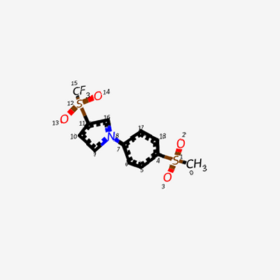 CS(=O)(=O)c1ccc(-n2ccc(S(=O)(=O)C(F)(F)F)c2)cc1